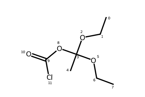 CCOC(C)(OCC)OC(=O)Cl